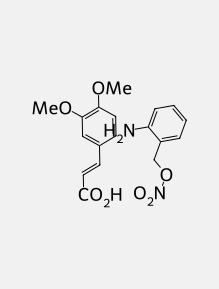 COc1ccc(C=CC(=O)O)cc1OC.Nc1ccccc1CO[N+](=O)[O-]